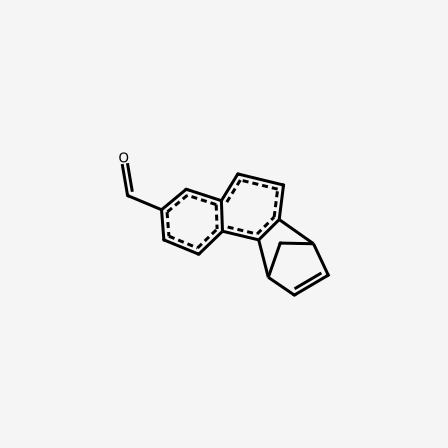 O=Cc1ccc2c3c(ccc2c1)C1C=CC3C1